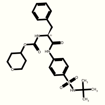 CC(C)(C)NS(=O)(=O)c1ccc(NC(=O)[C@H](Cc2ccccc2)NC(=O)OC2CCOCC2)cc1